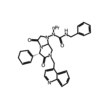 CCCN(C(=O)NCc1ccccc1)N1CC(=O)N2C1CN(Cc1ccnc3ccccc13)C(=O)[C@@H]2C1=CCCC=C1